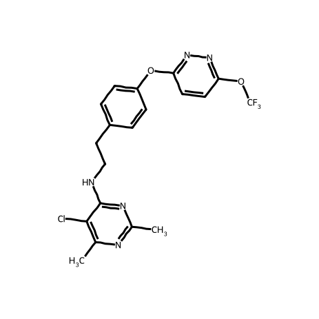 Cc1nc(C)c(Cl)c(NCCc2ccc(Oc3ccc(OC(F)(F)F)nn3)cc2)n1